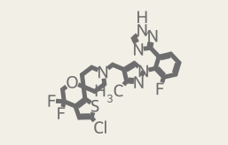 Cc1nn(-c2c(F)cccc2-c2nc[nH]n2)cc1CN1CCC2(CC1)OCC(F)(F)c1cc(Cl)sc12